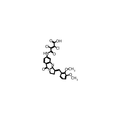 COc1cccc(C=C2CCn3c2nc2cc(NC(=O)C(Cl)=C(Cl)C(=O)O)ccc2c3=O)c1OC